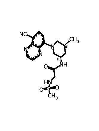 C[C@H]1C[C@@H](NC(=O)CNS(C)(=O)=O)CN(c2ccc(C#N)c3nccnc23)C1